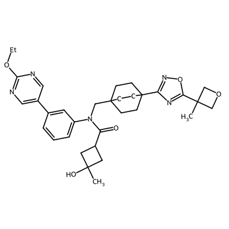 CCOc1ncc(-c2cccc(N(CC34CCC(c5noc(C6(C)COC6)n5)(CC3)CC4)C(=O)C3CC(C)(O)C3)c2)cn1